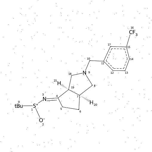 CC(C)(C)[S+]([O-])N=C1CC[C@@H]2CN(Cc3cccc(C(F)(F)F)c3)C[C@H]12